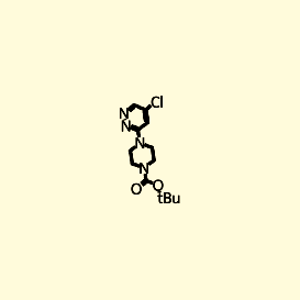 CC(C)(C)OC(=O)N1CCN(c2cc(Cl)cnn2)CC1